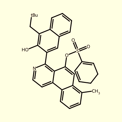 Cc1cccc2c1cc(OS(=O)(=O)C1=CCCC=C1)c1c(-c3cc4ccccc4c(CC(C)(C)C)c3O)nccc12